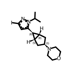 CC(C)n1nc(I)cc1[C@H]1[C@@H]2C[C@@H](N3CCOCC3)C[C@@H]21